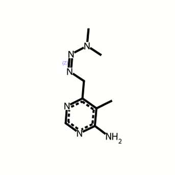 Cc1c(N)ncnc1C/N=N\N(C)C